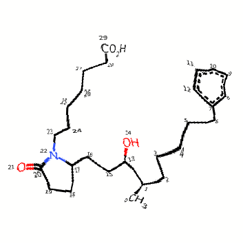 C[C@H](CCCCCc1ccccc1)[C@H](O)CCC1CCC(=O)N1CCCCCCC(=O)O